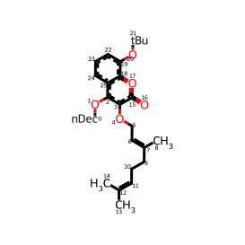 CCCCCCCCCCOc1c(OC/C=C(\C)CCC=C(C)C)c(=O)oc2c(OC(C)(C)C)cccc12